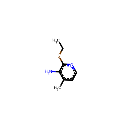 CCSc1nccc(C)c1N